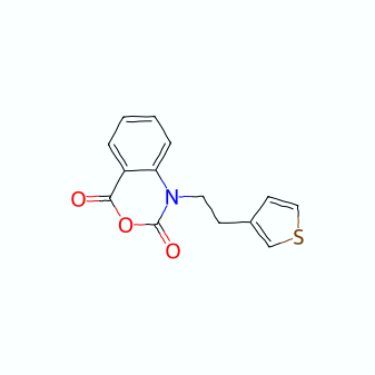 O=c1oc(=O)n(CCc2ccsc2)c2ccccc12